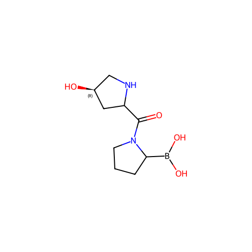 O=C(C1C[C@@H](O)CN1)N1CCCC1B(O)O